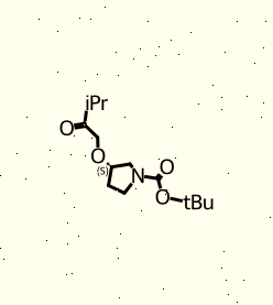 CC(C)C(=O)CO[C@H]1CCN(C(=O)OC(C)(C)C)C1